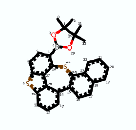 CC1(C)OB(c2ccc3sc4cccc5c6ccc7ccccc7c6sc2c3c45)OC1(C)C